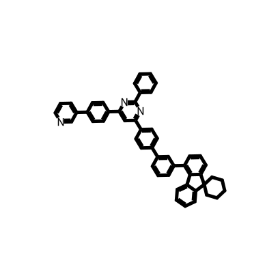 c1ccc(-c2nc(-c3ccc(-c4cccnc4)cc3)cc(-c3ccc(-c4cccc(-c5cccc6c5-c5ccccc5C65CCCCC5)c4)cc3)n2)cc1